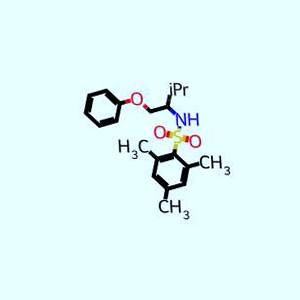 Cc1cc(C)c(S(=O)(=O)NC(COc2ccccc2)C(C)C)c(C)c1